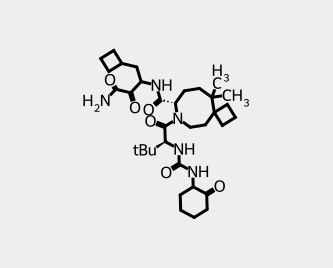 CC(C)(C)[C@H](NC(=O)NC1CCCCC1=O)C(=O)N1CCC2(CCC2)C(C)(C)CC[C@H]1C(=O)NC(CC1CCC1)C(=O)C(N)=O